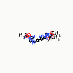 COC(=O)N[C@H](C(=O)N1CCC[C@H]1C1=NCC(c2ccc(-c3ccc(-c4cnc([C@@H]5CCCN5C5CCCC[C@H]5NC(=O)OC)[nH]4)cc3)cc2)N1)C(C)C